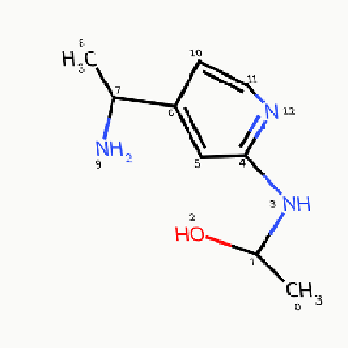 CC(O)Nc1cc(C(C)N)ccn1